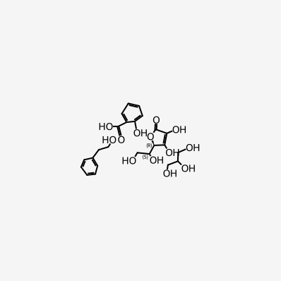 O=C(O)c1ccccc1O.O=C1O[C@H]([C@@H](O)CO)C(O)=C1O.OCC(O)CO.OCCc1ccccc1